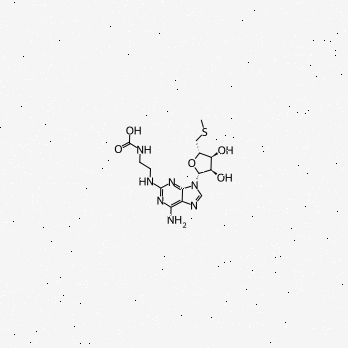 CSC[C@H]1O[C@@H](n2cnc3c(N)nc(NCCNC(=O)O)nc32)[C@H](O)[C@@H]1O